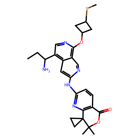 CCC(N)c1cnc(OC2CC(SC)C2)c2cnc(Nc3ccc4c(n3)C3(CC3)C(C)(C)OC4=O)cc12